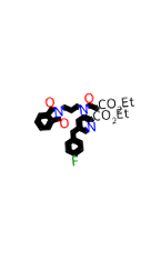 CCOC(=O)CC(=O)N(CCCN1C(=O)c2ccccc2C1=O)c1cc(Cc2ccc(F)cc2)cnc1C(=O)OCC